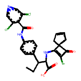 CCC(c1ccc(NC(=O)c2c(Cl)cncc2Cl)cc1)C(NC1=C(Br)C(=O)C12CC=CC2)C(=O)O